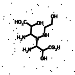 NC(C(O)C(=O)O)N(NCCO)C(N)C(O)C(=O)O